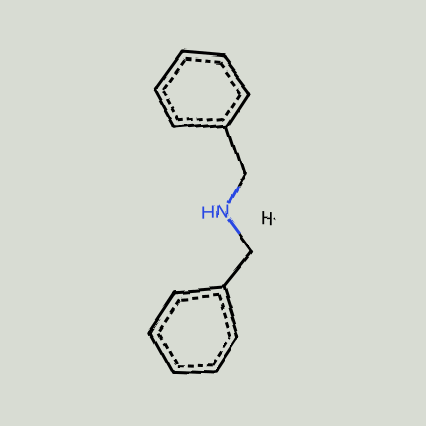 [H].c1ccc(CNCc2ccccc2)cc1